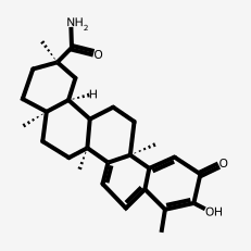 CC1=C(O)C(=O)C=C2C1=CC=C1[C@@]2(C)CCC2[C@@H]3C[C@](C)(C(N)=O)CC[C@]3(C)CC[C@]12C